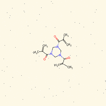 C=C(C)C(=O)N1CN(C(=O)C(=C)C)CN(C(=O)C(=C)C)C1